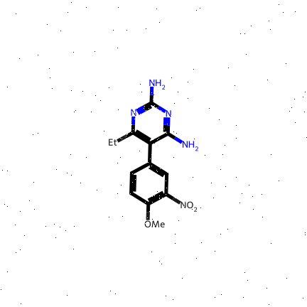 CCc1nc(N)nc(N)c1-c1ccc(OC)c([N+](=O)[O-])c1